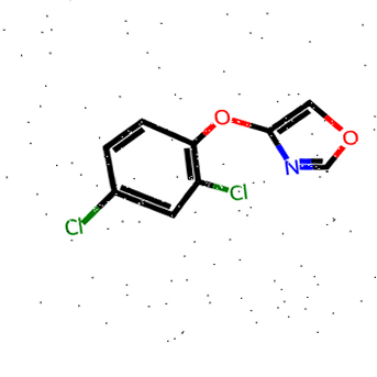 Clc1ccc(Oc2co[c]n2)c(Cl)c1